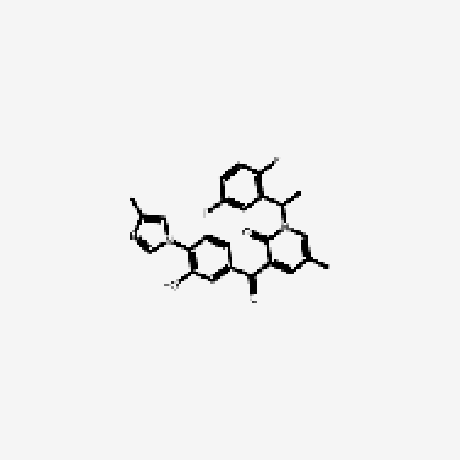 Cc1cc(C(=O)c2ccc(-n3cnc(C)c3)c(O)c2)c(=O)n(C(C)c2cc(F)ccc2F)c1